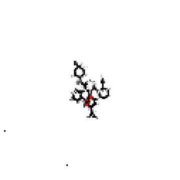 N#C[C@H]1CCCCN1C(=O)N(c1ccc(C2CC2)cc1F)C(C(=O)NC1CCC(F)(F)CC1)c1cnccc1C(F)(F)F